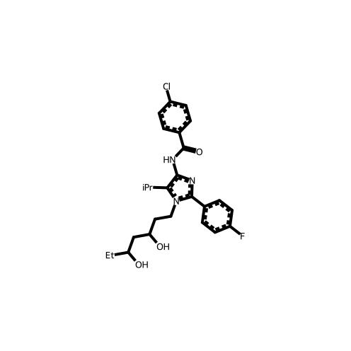 [CH2]CC(O)CC(O)CCn1c(-c2ccc(F)cc2)nc(NC(=O)c2ccc(Cl)cc2)c1C(C)C